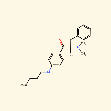 CCC(Cc1ccccc1)(C(=O)c1ccc(NCCCOC)cc1)N(C)C